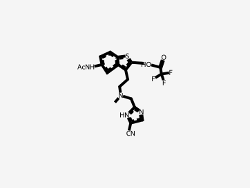 CC(=O)Nc1ccc2sc(C)c(CCN(C)Cc3ncc(C#N)[nH]3)c2c1.O=C(O)C(F)(F)F